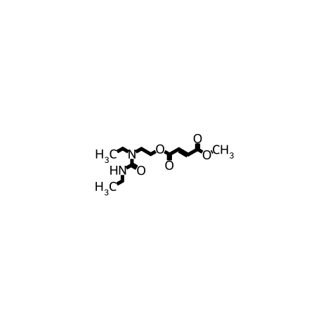 CCNC(=O)N(CC)CCOC(=O)/C=C/C(=O)OC